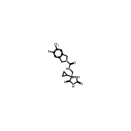 O=C1NC(=O)[C@](CNC(=O)N2Cc3cc(F)c(C(F)(F)F)cc3C2)(C2CC2)N1